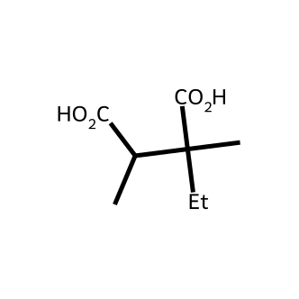 CCC(C)(C(=O)O)C(C)C(=O)O